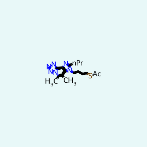 CCCc1nc2c(c(C)c(C)n3nnnc23)n1CCCCSC(C)=O